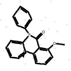 COc1cccc(OC)c1C(=O)P(c1ccccc1)c1ccccc1